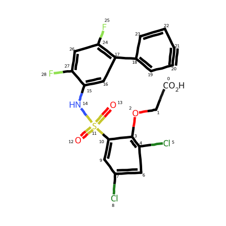 O=C(O)COc1c(Cl)cc(Cl)cc1S(=O)(=O)Nc1cc(-c2cc#ccc2)c(F)cc1F